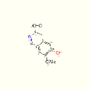 COc1cc(/C=N\C(C)C=O)ccc1O